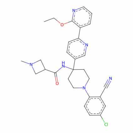 CCOc1ncccc1-c1ccc(C2(NC(=O)C3CN(C)C3)CCN(c3ccc(Cl)cc3C#N)CC2)cn1